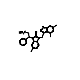 Cc1cc(C)c2c(Cn3c(=O)n([C@H](CC(=O)O)c4ccccc4)c4cc(C)ccc43)nsc2c1